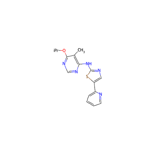 Cc1c(Nc2ncc(-c3ccccn3)s2)ncnc1OC(C)C